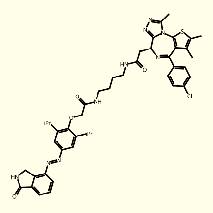 Cc1sc2c(c1C)C(c1ccc(Cl)cc1)=N[C@@H](CC(=O)NCCCCNC(=O)COc1c(C(C)C)cc(/N=N/c3cccc4c3CNC4=O)cc1C(C)C)c1nnc(C)n1-2